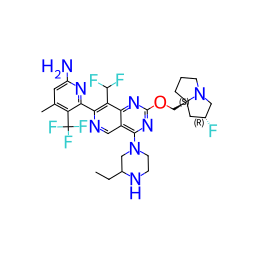 CCC1CN(c2nc(OC[C@@]34CCCN3C[C@H](F)C4)nc3c(C(F)F)c(-c4nc(N)cc(C)c4C(F)(F)F)ncc23)CCN1